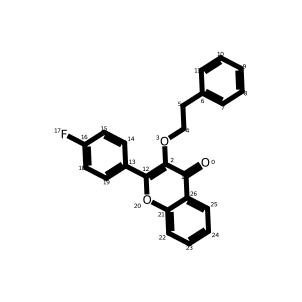 O=c1c(OCCc2ccccc2)c(-c2ccc(F)cc2)oc2ccccc12